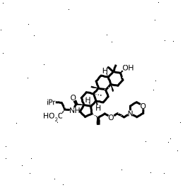 C=C(COCCN1CCOCC1)[C@@H]1CC[C@]2(C(=O)N[C@@H](CC(C)C)C(=O)O)CC[C@]3(C)[C@H](CCC4[C@@]5(C)CC[C@H](O)C(C)(C)[C@@H]5CC[C@]43C)[C@@H]12